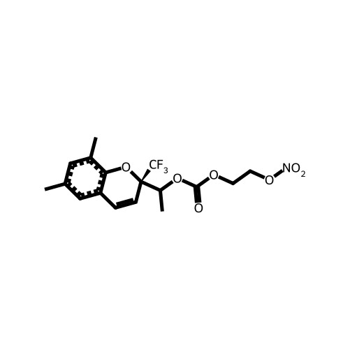 Cc1cc(C)c2c(c1)C=C[C@](C(C)OC(=O)OCCO[N+](=O)[O-])(C(F)(F)F)O2